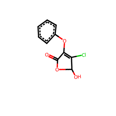 O=C1OC(O)C(Cl)=C1Oc1ccccc1